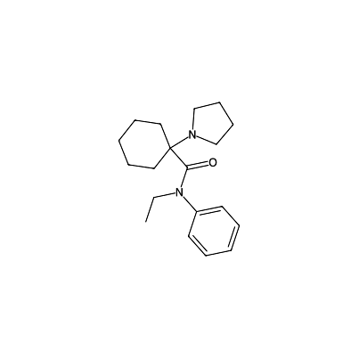 CCN(C(=O)C1(N2CCCC2)CCCCC1)c1ccccc1